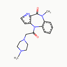 CN1CCN(CC(=O)N2c3ccccc3N(C)C(=O)c3[nH]ccc32)CC1